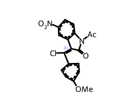 COc1ccc(/C(Cl)=C2\C(=O)N(C(C)=O)c3ccc([N+](=O)[O-])cc32)cc1